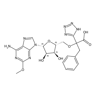 COc1nc(N)c2ncn([C@@H]3O[C@H](COC(Cc4ccccc4)(C(=O)O)c4nnn[nH]4)[C@@H](O)[C@H]3O)c2n1